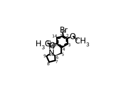 COc1cc(C[C@H]2CCCN2)c(OC)cc1Br